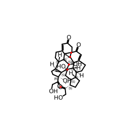 C[C@]12C[C@H](O)[C@H]3[C@@H](CCC4=CC(=O)CC([C@]56[C@@H](O)C[C@@]7(C)[C@@H](CC[C@]7(O)C(=O)CO)[C@@H]5CCC5=CC(=O)CC[C@@]56C)[C@@]43C)[C@@H]1CC[C@@H]2C(=O)CO